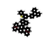 c1ccc(-c2ccc(-c3ccccc3)c3c(-c4ccccc4)c4c(c(-c5ccccc5)c23)-c2cccc3c(-c5cc(-c6ccc7c8ccccc8c8ccccc8c7c6)cc6c5sc5ccccc56)ccc-4c23)cc1